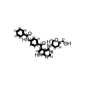 O=C(Nc1ccc(C(=O)c2c[nH]c3ncnc(N[C@H]4CC[C@H](CO)OC4)c23)cc1)c1ccccc1